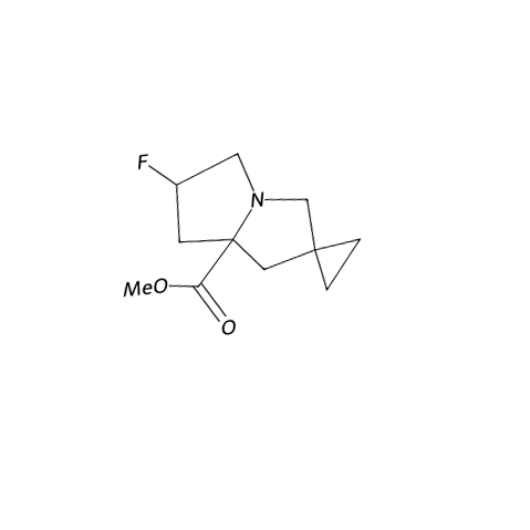 COC(=O)C12CC(F)CN1CC1(CC1)C2